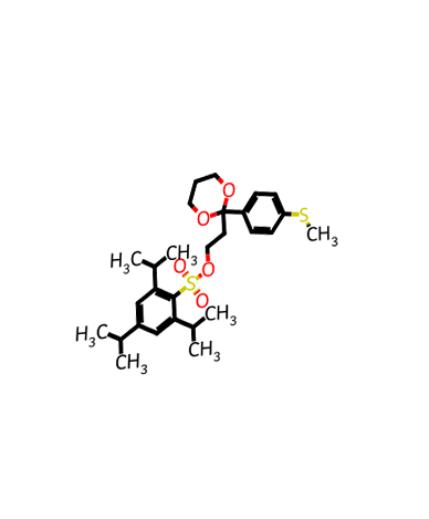 CSc1ccc(C2(CCOS(=O)(=O)c3c(C(C)C)cc(C(C)C)cc3C(C)C)OCCCO2)cc1